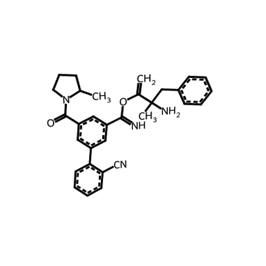 C=C(OC(=N)c1cc(C(=O)N2CCCC2C)cc(-c2ccccc2C#N)c1)C(C)(N)Cc1ccccc1